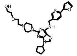 OCCOCCN1CCN(c2nc(NCc3ccc(-c4ccco4)nc3)c3ncn(C4CCCC4)c3n2)CC1